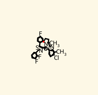 Cc1c(Cl)ccc2[nH]c(C3(C)CCCN3C(=O)c3nc(-c4cccc(F)c4F)sc3-c3ccc(F)cc3)nc12